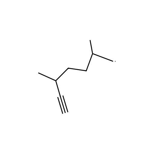 C#CC(C)CCC([CH2])C